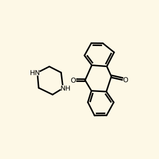 C1CNCCN1.O=C1c2ccccc2C(=O)c2ccccc21